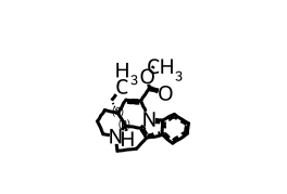 CC[C@@]12C=C(C(=O)OC)n3c4c(c5ccccc53)CCN(CCC1)[C@@H]42